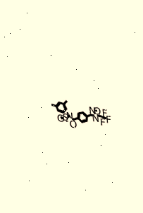 Cc1cc(C)cc(S(C)(=O)=NC(=O)c2ccc(-c3noc(C(F)(F)F)n3)cc2)c1